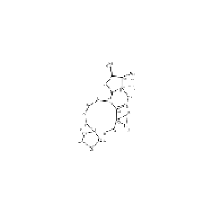 CC[C@@H]1CC2C3CCCCC4(CCC5(CO5)C3=CC[C@]2(C)C1C(C)=O)OCCO4